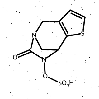 O=C1N2Cc3ccsc3C(C2)N1OS(=O)(=O)O